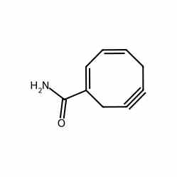 NC(=O)/C1=C/C=C\CC#CC1